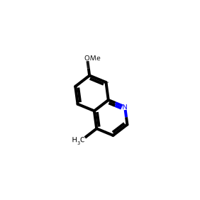 COc1[c]c2nccc(C)c2cc1